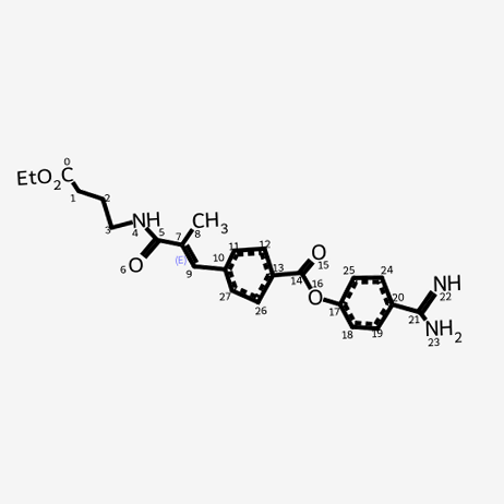 CCOC(=O)CCCNC(=O)/C(C)=C/c1ccc(C(=O)Oc2ccc(C(=N)N)cc2)cc1